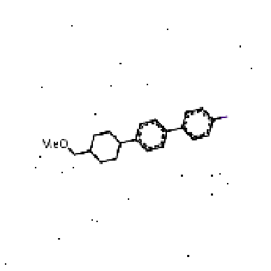 COCC1CCC(c2ccc(-c3ccc(I)cc3)cc2)CC1